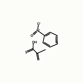 C=C(C)C(O)=S.O=[N+]([O-])c1ccccc1